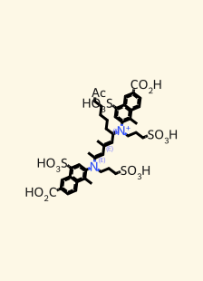 CC(=O)CCCCCC(/C=C(C)/C=C(\C)N(CCCS(=O)(=O)O)c1cc(S(=O)(=O)O)c2cc(C(=O)O)ccc2c1C)=[N+](/CCCS(=O)(=O)O)c1cc(S(=O)(=O)O)c2cc(C(=O)O)ccc2c1C